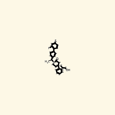 C[C@@H](c1ccc(-c2ccc(F)cc2F)cc1)N1CC[C@](CCCO)(c2ccccc2)CC1=O